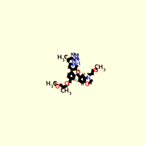 COCCCN1CCOc2ccc(CO[C@H]3CN[C@@H](C[C@@H](C)c4nnn[nH]4)C[C@@H]3c3ccc(COC[C@@H](C)COC)cc3)cc21